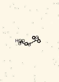 COC(Cc1ccc(OCCCC=C2c3ccccc3COc3ccccc32)cc1)C(=O)O